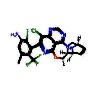 Cc1cc(N)c(F)c(-c2nc3c4c(ncnc4c2Cl)N2C[C@H]4CC[C@H](N4)[C@H]2[C@H](C)O3)c1C(F)(F)F